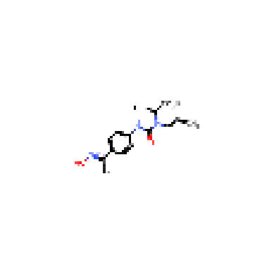 C=CCN(C(=O)Nc1ccc(/C(CC)=N/O)cc1)C(C)C(=O)OCC